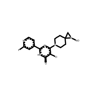 O=NN1CC12CCN(c1nc(-c3ccnc(F)c3)[nH]c(=O)c1Cl)CC2